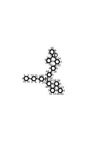 c1ccc(-c2ccc(-c3ccc(N(c4ccc(-c5ccc(-c6cccc(-c7oc8ccccc8c7-c7ccccc7)c6)cc5)cc4)c4ccc(-c5ccccc5-c5ccccc5-c5ccccc5)cc4)cc3)cc2)cc1